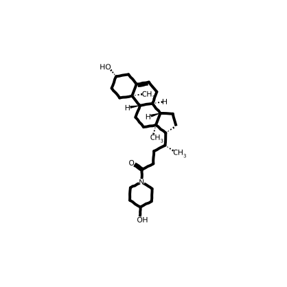 C[C@H](CCC(=O)N1CCC(O)CC1)[C@H]1CC[C@H]2[C@@H]3CC=C4C[C@@H](O)CC[C@]4(C)[C@H]3CC[C@]12C